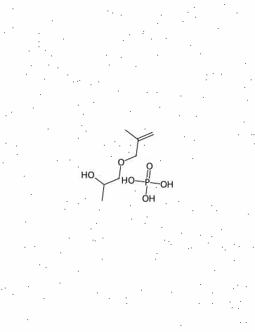 C=C(C)COCC(C)O.O=P(O)(O)O